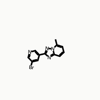 Cc1cccc2nc(-c3cncc(Br)c3)nn12